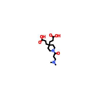 CN(C)CCC(=O)N1CCC(CCC(=O)O)(CCC(=O)O)CC1